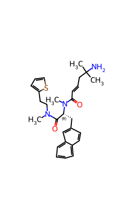 CN(CCc1cccs1)C(=O)[C@@H](Cc1ccc2ccccc2c1)N(C)C(=O)C=CCC(C)(C)N